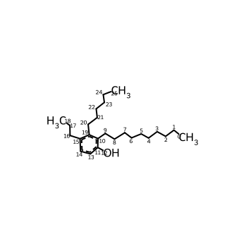 CCCCCCCCCCc1c(O)ccc(CCC)c1CCCCCC